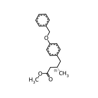 COC(=O)C[C@@H](C)Cc1ccc(OCc2ccccc2)cc1